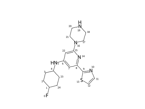 FC1CCC(Nc2cc(-c3nccs3)nc(N3CCNCC3)c2)CC1